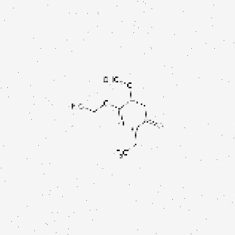 O=COC(CC(=O)OCC(F)(F)F)C(=O)OCC(F)(F)F